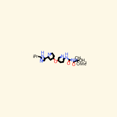 COC(C)(C)C(=O)NC(=O)Nc1ccc(Oc2ccnc(-c3cnc(C(C)C)[nH]3)c2)cn1